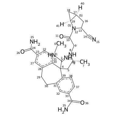 CNC(=N)C1(C[C@@H](C)NCC(=O)N2C(C#N)C[C@@H]3C[C@@H]32)c2ccc(C(N)=O)cc2CCc2cc(C(N)=O)ccc21